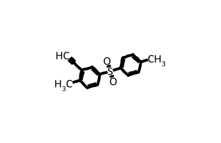 C#Cc1cc(S(=O)(=O)c2ccc(C)cc2)ccc1C